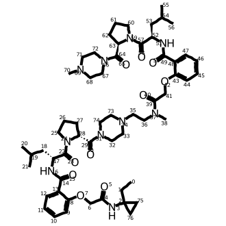 CCC1(NC(=O)COc2ccccc2C(=O)N[C@H](CC(C)C)C(=O)N2CCC[C@@H]2C(=O)N2CCN(CCN(C)C(=O)COc3ccccc3C(=O)N[C@H](CC(C)C)C(=O)N3CCC[C@@H]3C(=O)N3CCN(C)CC3)CC2)CC1